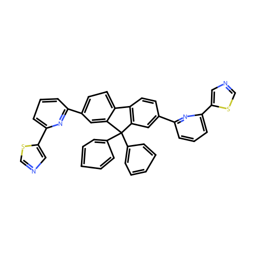 c1ccc(C2(c3ccccc3)c3cc(-c4cccc(-c5cncs5)n4)ccc3-c3ccc(-c4cccc(-c5cncs5)n4)cc32)cc1